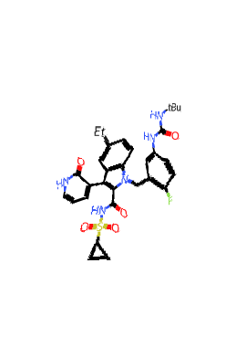 CCc1ccc2c(c1)c(-c1ccc[nH]c1=O)c(C(=O)NS(=O)(=O)C1CC1)n2Cc1cc(NC(=O)NC(C)(C)C)ccc1F